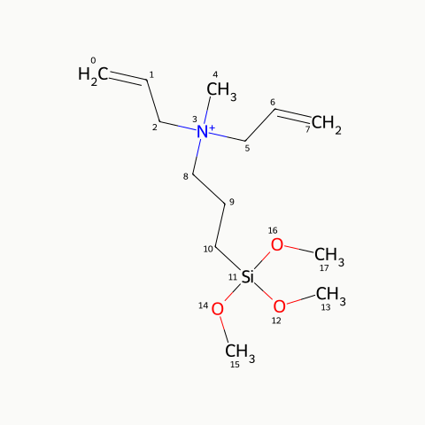 C=CC[N+](C)(CC=C)CCC[Si](OC)(OC)OC